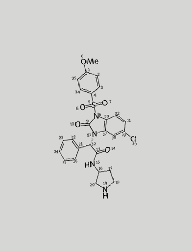 COc1ccc(S(=O)(=O)n2c(=O)n([C@H](C(=O)NC3CCNC3)c3ccccc3)c3cc(Cl)ccc32)cc1